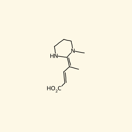 CC(/C=C/C(=O)O)=C1/NCCCN1C